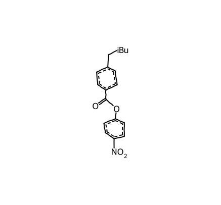 CCC(C)Cc1ccc(C(=O)Oc2ccc([N+](=O)[O-])cc2)cc1